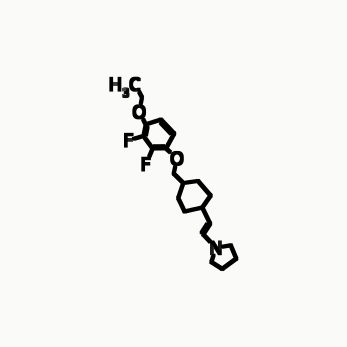 CCOc1ccc(OCC2CCC(C=CN3CCCC3)CC2)c(F)c1F